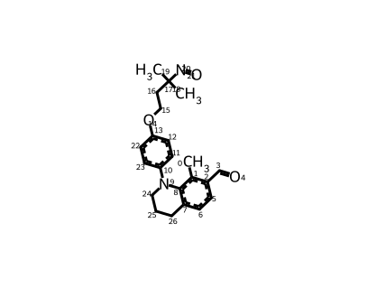 Cc1c(C=O)ccc2c1N(c1ccc(OCCC(C)(C)N=O)cc1)CCC2